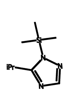 CC(C)c1ncnn1[Si](C)(C)C